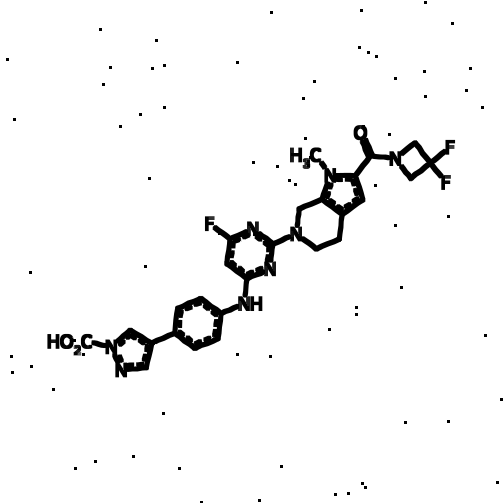 Cn1c(C(=O)N2CC(F)(F)C2)cc2c1CN(c1nc(F)cc(Nc3ccc(-c4cnn(C(=O)O)c4)cc3)n1)CC2